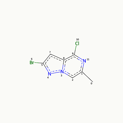 Cc1cn2nc(Br)cc2c(Cl)n1